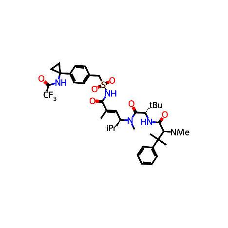 CN[C@H](C(=O)N[C@H](C(=O)N(C)[C@H](C=C(C)C(=O)NS(=O)(=O)Cc1ccc(C2(NC(=O)C(F)(F)F)CC2)cc1)C(C)C)C(C)(C)C)C(C)(C)c1ccccc1